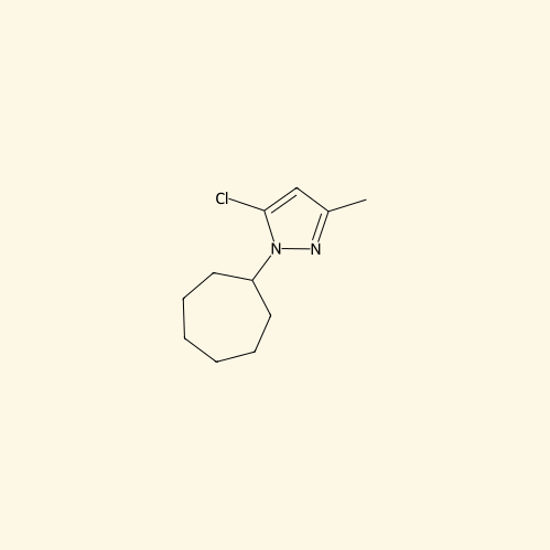 Cc1cc(Cl)n(C2CCCCCC2)n1